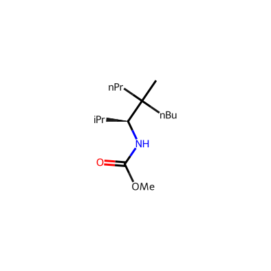 CCCCC(C)(CCC)[C@@H](NC(=O)OC)C(C)C